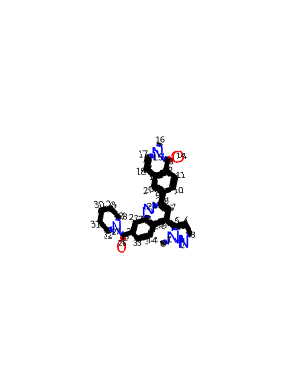 Cn1nccc1-c1cc(-c2ccc3c(=O)n(C)ccc3c2)nc2cc(C(=O)N3CCCCC3)ccc12